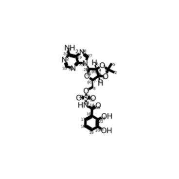 CC1(C)O[C@@H]2[C@H](O1)[C@@H](COS(=O)(=O)NC(=O)c1cccc(O)c1O)O[C@H]2n1cnc2c(N)ncnc21